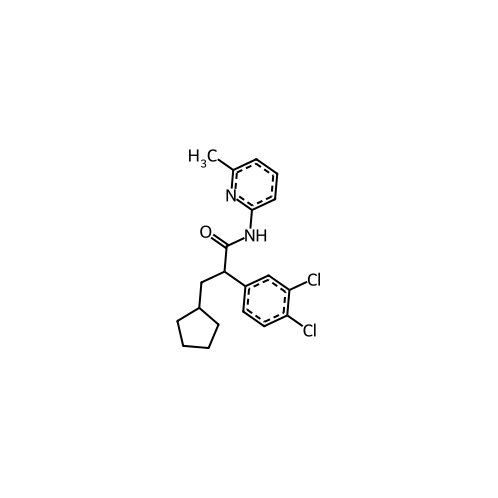 Cc1cccc(NC(=O)C(CC2CCCC2)c2ccc(Cl)c(Cl)c2)n1